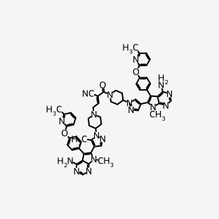 Cc1cccc(Oc2ccc(-c3c(-c4cnn(C5CCN(C(=O)/C(C#N)=C/CN6CCC(n7ncc(-c8c(-c9ccc(Oc%10cccc(C)n%10)cc9)c9c(N)ncnc9n8C)c7C)CC6)CC5)c4)n(C)c4ncnc(N)c34)cc2)n1